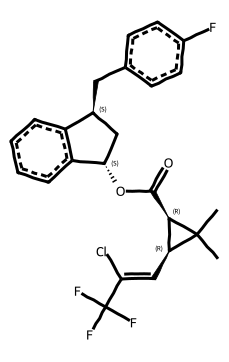 CC1(C)[C@H](C(=O)O[C@H]2C[C@H](Cc3ccc(F)cc3)c3ccccc32)[C@@H]1C=C(Cl)C(F)(F)F